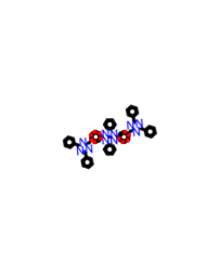 c1ccc(-c2nc(-c3ccccc3)nc(-c3cccc(N4c5ccccc5N(c5ccccc5)C45N(c4ccccc4)c4ccccc4N5c4cccc(-c5nc(-c6ccccc6)nc(-c6ccccc6)n5)c4)c3)n2)cc1